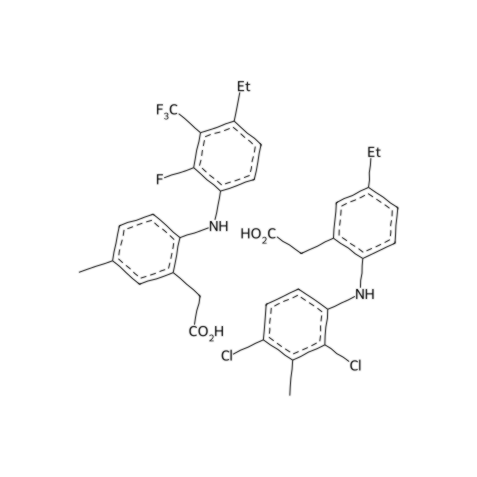 CCc1ccc(Nc2ccc(C)cc2CC(=O)O)c(F)c1C(F)(F)F.CCc1ccc(Nc2ccc(Cl)c(C)c2Cl)c(CC(=O)O)c1